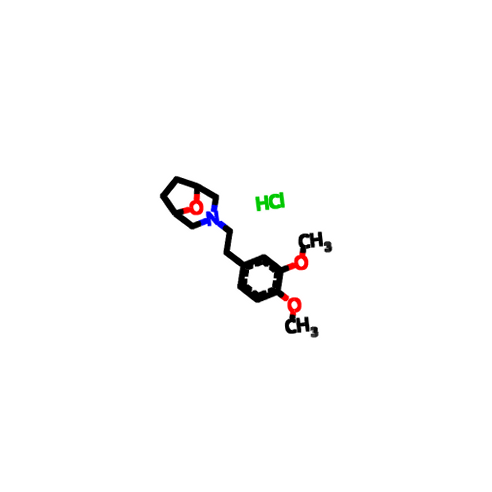 COc1ccc(CCN2CC3CCC(C2)O3)cc1OC.Cl